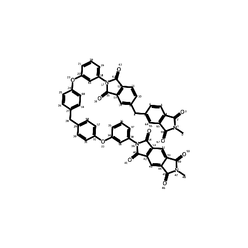 CN1C(=O)c2ccc(Cc3ccc4c(c3)C(=O)N(c3cccc(Oc5ccc(Cc6ccc(Oc7cccc(-n8c(=O)c9cc%10c(=O)n(C)c(=O)c%10cc9c8=O)c7)cc6)cc5)c3)C4=O)cc2C1=O